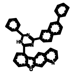 c1ccc(-c2ccc3ccc(C4=NC(c5ccccc5)NC(c5cccc6oc7cc8ncccc8cc7c56)=N4)cc3c2)cc1